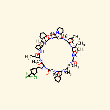 CCC[C@H]1C(=O)NC2(CCCC2)C(=O)N(C)[C@@H](C2CCCCC2)C(=O)N(C)[C@H](C(=O)N2CCCCC2)CC(=O)N(C)[C@@H](CC(C)C)C(=O)N[C@@H]([C@@H](C)CC)C(=O)N(C)CC(=O)N(C)CC(=O)N(C)[C@@H](CC2CCCCC2)C(=O)N(C)CC(=O)N[C@@H](CCc2ccc(C(F)(F)F)c(Cl)c2)C(=O)N1C